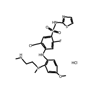 CNCCN(C)c1cc(OC)ccc1Nc1cc(F)c(S(=O)(=O)Nc2nccs2)cc1Cl.Cl